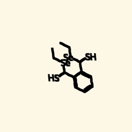 CC[Se]C(S)c1ccccc1C(S)[Se]CC